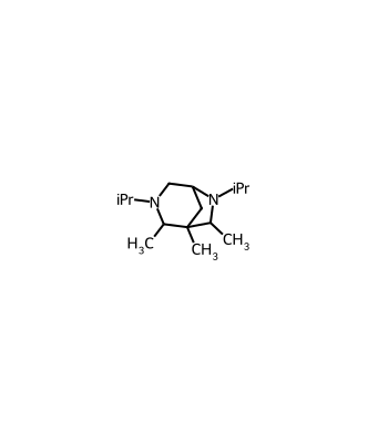 CC(C)N1CC2CC(C)(C1C)C(C)N2C(C)C